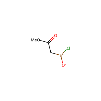 COC(=O)C[S+]([O-])Cl